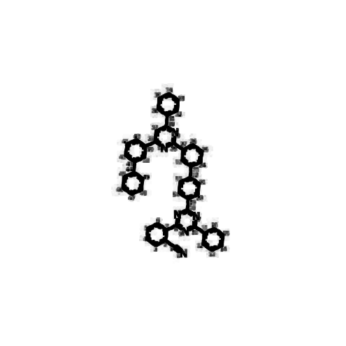 N#Cc1ccccc1-c1nc(-c2ccccc2)nc(-c2ccc(-c3cccc(-c4nc(-c5ccccc5)cc(-c5cccc(-c6ccccc6)c5)n4)c3)cc2)n1